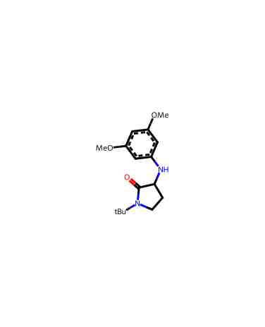 COc1cc(NC2CCN(C(C)(C)C)C2=O)cc(OC)c1